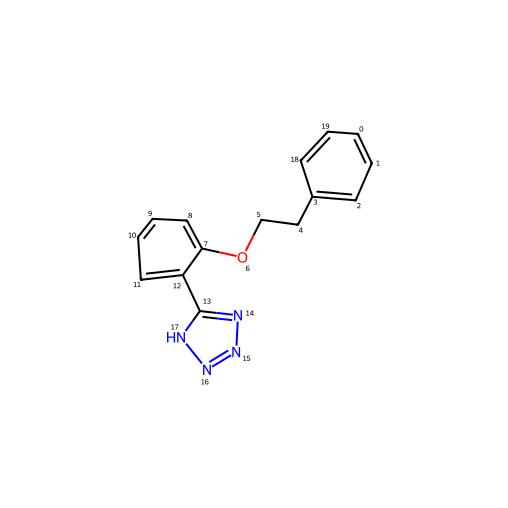 c1ccc(CCOc2ccccc2-c2nnn[nH]2)cc1